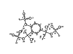 CS(=O)(=O)Oc1ccc(C(OS(C)(=O)=O)(C(F)(F)F)C(F)(F)F)cc1C(OS(C)(=O)=O)(C(F)(F)F)C(F)(F)F